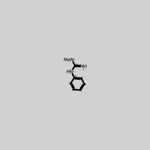 CNC(=N)Nc1ccccc1